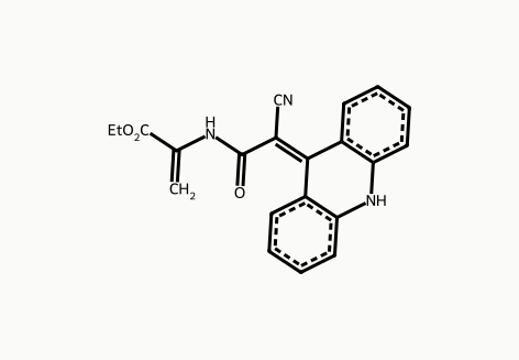 C=C(NC(=O)C(C#N)=C1c2ccccc2Nc2ccccc21)C(=O)OCC